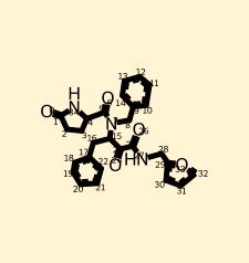 O=C1CCC(C(=O)N(Cc2ccccc2)C(Cc2ccccc2)C(=O)C(=O)NCc2ccco2)N1